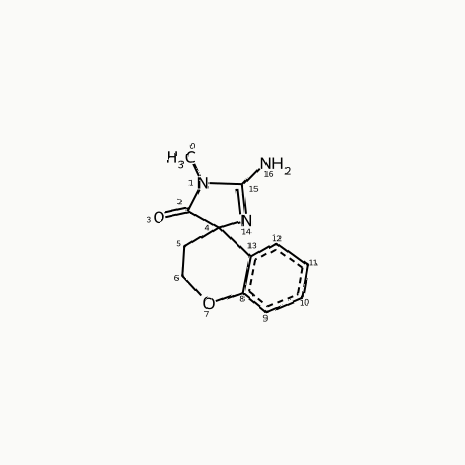 CN1C(=O)C2(CCOc3ccccc32)N=C1N